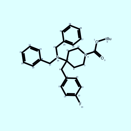 CC(C)(C)OC(=O)N1CCC(Cc2ccc(F)cc2)(N(Cc2ccccc2)Cc2ccccc2)CC1